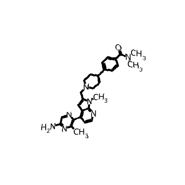 Cc1nc(N)cnc1-c1ccnc2c1cc(CN1CCC(c3ccc(C(=O)N(C)C)cc3)CC1)n2C